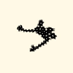 CCC1(COCCCCCOCc2ccc(N(c3ccccc3)c3ccc4c(c3)C3(c5ccccc5-c5ccccc53)c3cc(N(c5ccccc5)c5ccc(COCCCCCOCC6(CC)COC6)cc5)c5oc6ccccc6c5c3-4)cc2)COC1